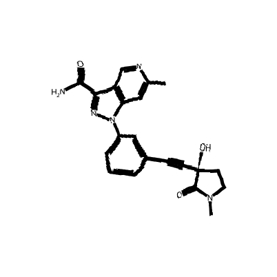 Cc1cc2c(cn1)c(C(N)=O)nn2-c1cccc(C#C[C@]2(O)CCN(C)C2=O)c1